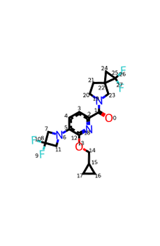 O=C(c1ccc(N2CC(F)(F)C2)c(OCC2CC2)n1)N1CCC2(C1)CC2(F)F